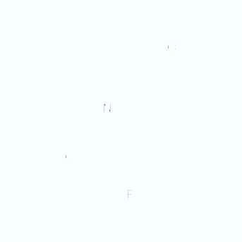 O=Cc1ccc(F)c(Cl)n1